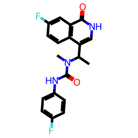 CC(c1c[nH]c(=O)c2cc(F)ccc12)N(C)C(=O)Nc1ccc(F)cc1